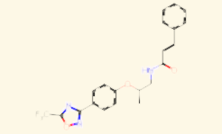 C[C@H](CNC(=O)/C=C/c1ccccc1)Oc1ccc(-c2noc(C(F)(F)F)n2)cc1